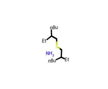 CCCCC(CC)CSCC(CC)CCCC.N